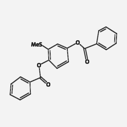 CSc1cc(OC(=O)c2ccccc2)ccc1OC(=O)c1ccccc1